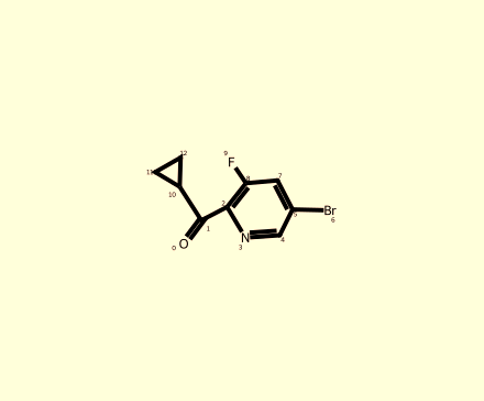 O=C(c1ncc(Br)cc1F)C1CC1